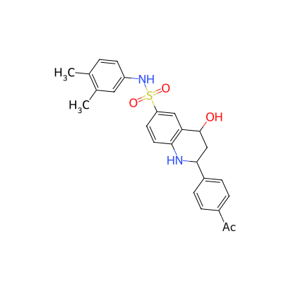 CC(=O)c1ccc(C2CC(O)c3cc(S(=O)(=O)Nc4ccc(C)c(C)c4)ccc3N2)cc1